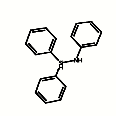 c1ccc(N[SiH](c2ccccc2)c2ccccc2)cc1